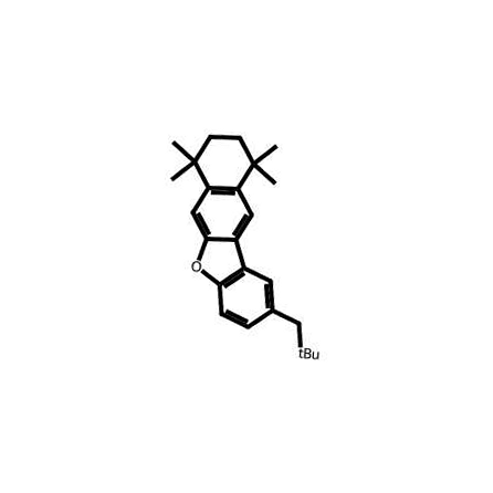 CC(C)(C)Cc1ccc2oc3cc4c(cc3c2c1)C(C)(C)CCC4(C)C